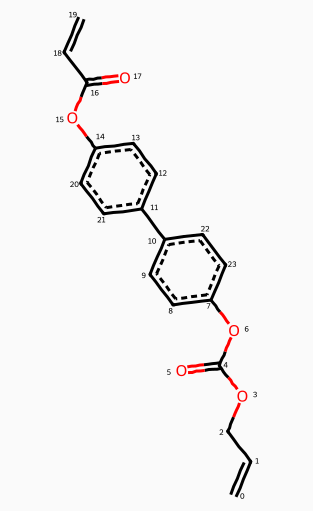 C=CCOC(=O)Oc1ccc(-c2ccc(OC(=O)C=C)cc2)cc1